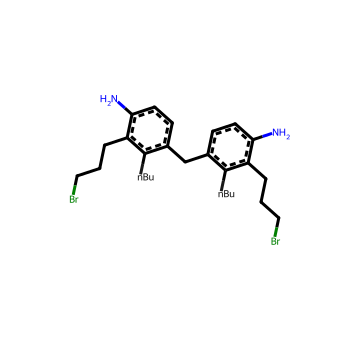 CCCCc1c(Cc2ccc(N)c(CCCBr)c2CCCC)ccc(N)c1CCCBr